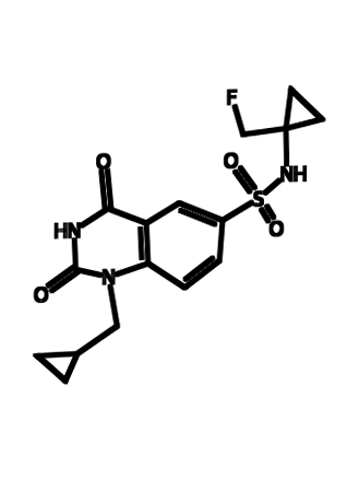 O=c1[nH]c(=O)n(CC2CC2)c2ccc(S(=O)(=O)NC3(CF)CC3)cc12